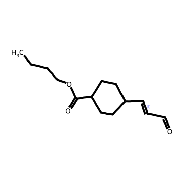 CCCCOC(=O)C1CCC(/C=C/C=O)CC1